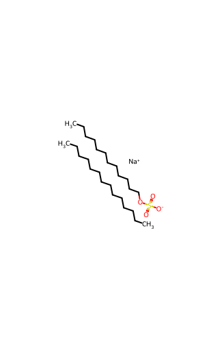 CCCCCCCCCCCCCC.CCCCCCCCCCCCOS(=O)(=O)[O-].[Na+]